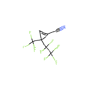 N#CC1=CC1(C(F)(F)F)C(F)(F)C(F)(F)F